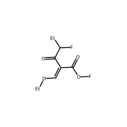 CCOC=C(C(=O)OF)C(=O)C(F)CC